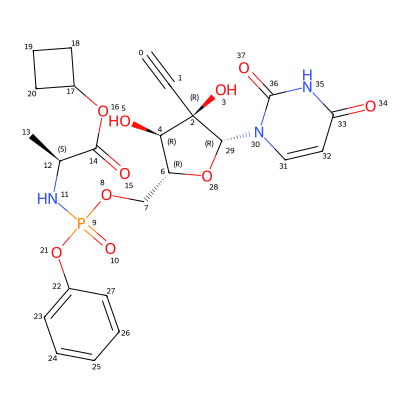 C#C[C@@]1(O)[C@H](O)[C@@H](COP(=O)(N[C@@H](C)C(=O)OC2CCC2)Oc2ccccc2)O[C@H]1n1ccc(=O)[nH]c1=O